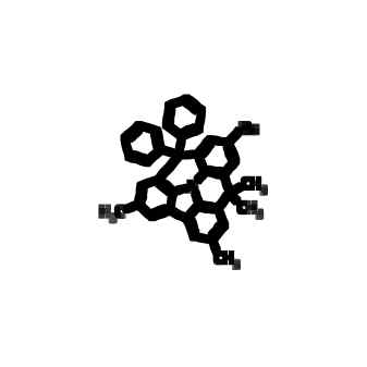 CCC(C)c1cc2c3c(c1)C(c1ccccc1)(c1ccccc1)c1cc(C)cc4c5cc(C)cc(c5n-3c14)C2(C)C